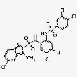 Cc1c(S(=O)(=O)Nc2cc(Cl)c(Cl)cc2NS(=O)(=O)c2ccc(Cl)c(Cl)c2)sc2ccc(Cl)cc12